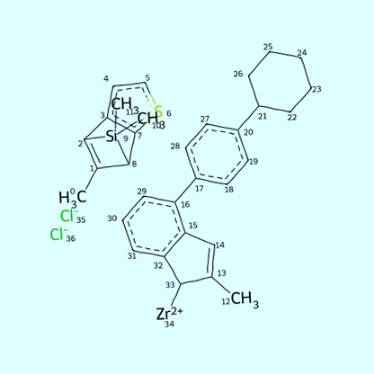 CC1=C2c3ccsc3C1[Si]2(C)C.CC1=Cc2c(-c3ccc(C4CCCCC4)cc3)cccc2[CH]1[Zr+2].[Cl-].[Cl-]